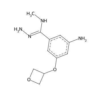 CN/C(=N\N)c1cc(N)cc(OC2COC2)c1